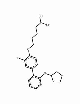 OC(O)CCCCOc1ccc(-c2cccnc2SC2CCCC2)cc1F